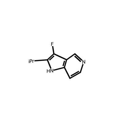 CC(C)c1[nH]c2ccncc2c1F